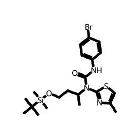 Cc1csc(N(C(=O)Nc2ccc(Br)cc2)C(C)CCO[Si](C)(C)C(C)(C)C)n1